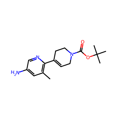 Cc1cc(N)cnc1C1=CCN(C(=O)OC(C)(C)C)CC1